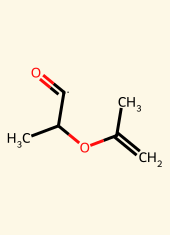 C=C(C)OC(C)[C]=O